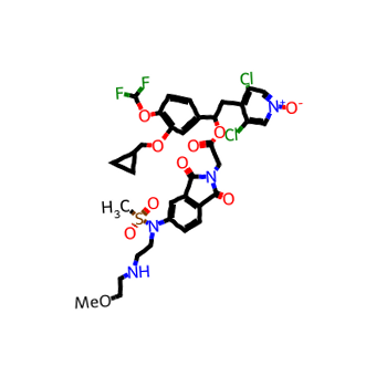 COCCNCCN(c1ccc2c(c1)C(=O)N(CC(=O)OC(Cc1c(Cl)c[n+]([O-])cc1Cl)c1ccc(OC(F)F)c(OCC3CC3)c1)C2=O)S(C)(=O)=O